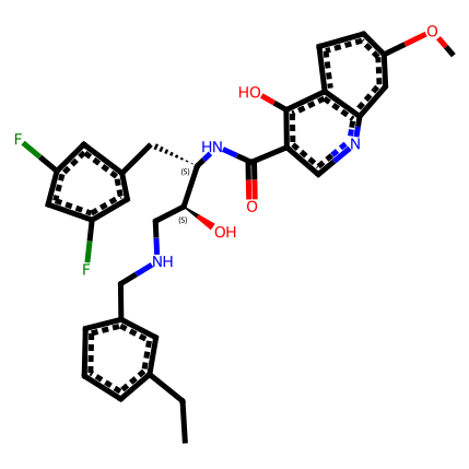 CCc1cccc(CNC[C@H](O)[C@H](Cc2cc(F)cc(F)c2)NC(=O)c2cnc3cc(OC)ccc3c2O)c1